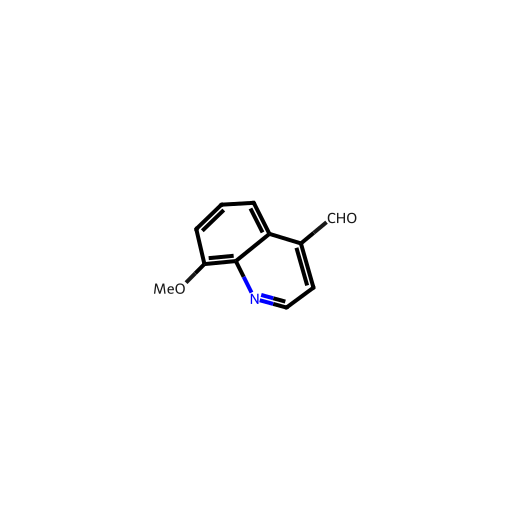 COc1cccc2c(C=O)ccnc12